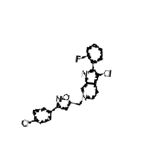 Fc1ccccc1-c1nc2cn(Cc3cc(-c4ccc(Cl)cc4)no3)ccc-2c1Cl